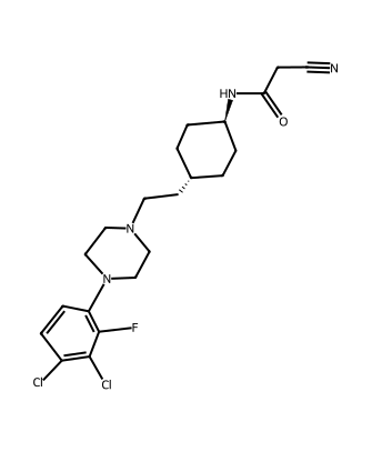 N#CCC(=O)N[C@H]1CC[C@H](CCN2CCN(c3ccc(Cl)c(Cl)c3F)CC2)CC1